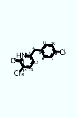 O=c1[nH]c(Cc2ccc(Cl)cc2)ccc1Cl